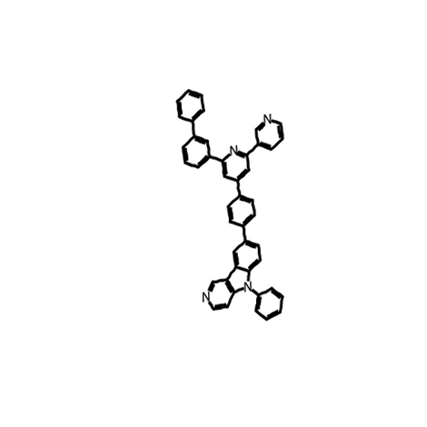 c1ccc(-c2cccc(-c3cc(-c4ccc(-c5ccc6c(c5)c5cnccc5n6-c5ccccc5)cc4)cc(-c4cccnc4)n3)c2)cc1